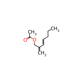 C=C(C=CCCC)COC(C)=O